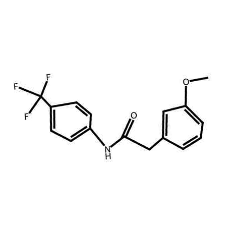 COc1cccc(CC(=O)Nc2ccc(C(F)(F)F)cc2)c1